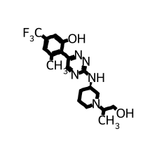 Cc1cc(C(F)(F)F)cc(O)c1-c1cnc(N[C@@H]2CCCN(C(C)CO)C2)nn1